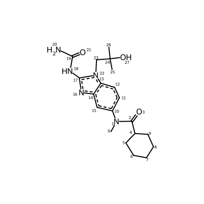 CN(C(=O)C1CCCCC1)c1ccc2c(c1)nc(NC(N)=O)n2CC(C)(C)O